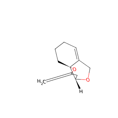 C=C1C[C@@H]2OCC3=CCCC[C@]32O1